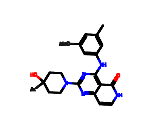 COc1cc(C)cc(Nc2nc(N3CCC(O)(C(C)=O)CC3)nc3cc[nH]c(=O)c23)c1